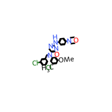 COc1cc(C)ccc1Oc1nc(Nc2ccc(N3CCOCC3)cc2)ncc1/N=C/c1cc(Cl)cc(Cl)c1